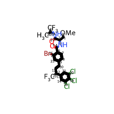 COCC(NC(=O)c1ccc(/C=C/C(c2cc(Cl)c(Cl)c(Cl)c2)C(F)(F)F)cc1Br)C(=O)NC(C)C(F)(F)F